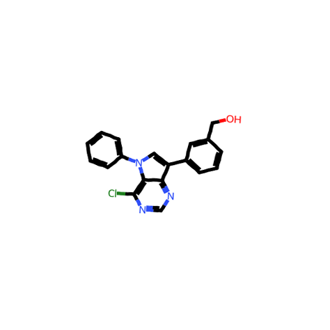 OCc1cccc(-c2cn(-c3ccccc3)c3c(Cl)ncnc23)c1